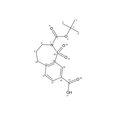 CC(C)(C)OC(=O)N1CCCc2ccc(C(=O)O)cc2S1(=O)=O